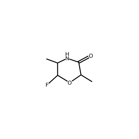 CC1OC(F)C(C)NC1=O